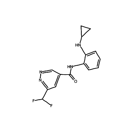 O=C(Nc1ccccc1NC1CC1)c1cnnc(C(F)F)c1